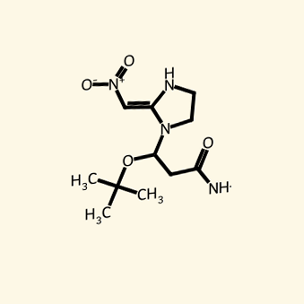 CC(C)(C)OC(CC([NH])=O)N1CCNC1=C[N+](=O)[O-]